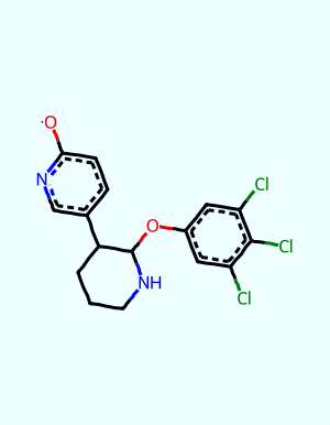 [O]c1ccc(C2CCCNC2Oc2cc(Cl)c(Cl)c(Cl)c2)cn1